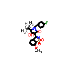 COc1cccc2c1S(=O)(=O)N=C2C1=C(O)C(C(C)(C)C)N(Cc2ccc(F)cc2)C1=O